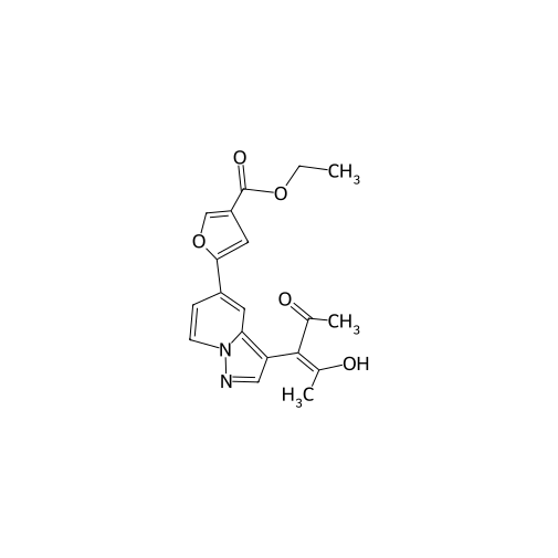 CCOC(=O)c1coc(-c2ccn3ncc(/C(C(C)=O)=C(\C)O)c3c2)c1